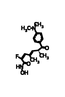 CC(=C\[C@@H](C)C(=O)c1ccc(N(C)C)cc1)/C=C(/F)C(=O)NO